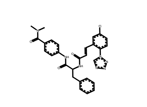 CN(C)C(=O)c1ccc(NC(=O)C(Cc2ccccc2)NC(=O)C=Cc2cc(Cl)ccc2-n2cnnn2)cc1